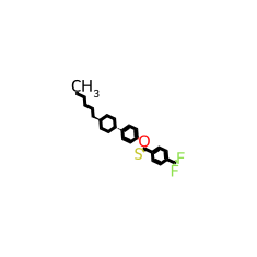 CCCCCC[C@H]1CC[C@H](c2ccc(OC(=S)c3ccc(C(F)F)cc3)cc2)CC1